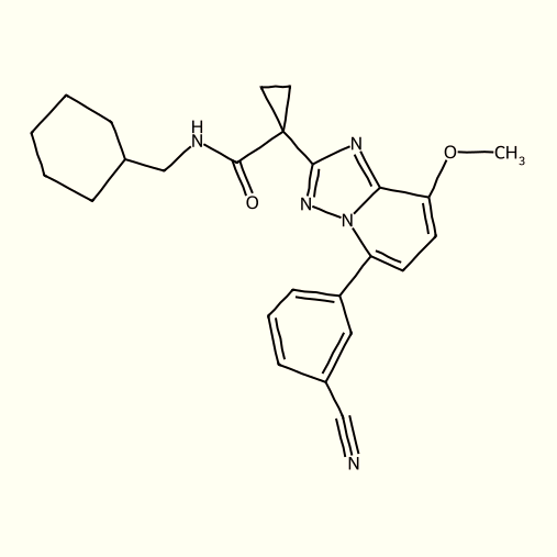 COc1ccc(-c2cccc(C#N)c2)n2nc(C3(C(=O)NCC4CCCCC4)CC3)nc12